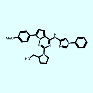 COc1ccc(-c2ccc3c(Nc4cn(-c5ccccc5)cn4)nc(N4CCCC4CO)nn23)cc1